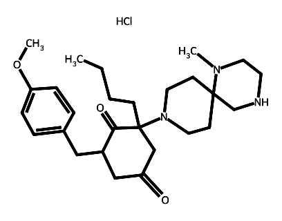 CCCCC1(N2CCC3(CC2)CNCCN3C)CC(=O)CC(Cc2ccc(OC)cc2)C1=O.Cl